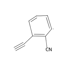 C#Cc1ccc[c]c1C#N